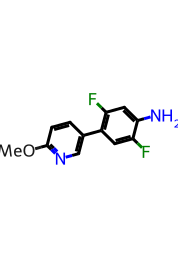 COc1ccc(-c2cc(F)c(N)cc2F)cn1